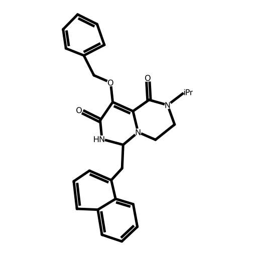 CC(C)N1CCN2C(=C(OCc3ccccc3)C(=O)NC2Cc2cccc3ccccc23)C1=O